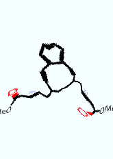 COC(=O)/C=C/CC1C#Cc2ccccc2C#CC(C/C=C/C(=O)OC)CC1